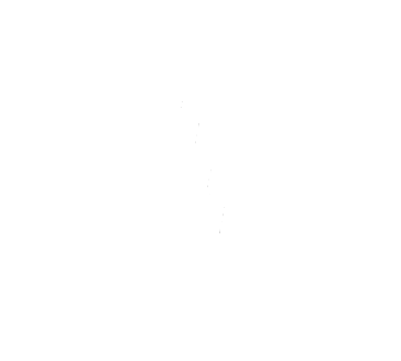 CC/[C]=C\CCCCCC